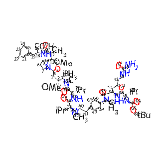 CC[C@H](C)[C@@H]([C@@H](CC(=O)N1CCC[C@H]1[C@H](OC)[C@@H](C)C(=O)N[C@@H](Cc1ccccc1)C(=O)O)OC)N(C)C(=O)[C@@H](NC(=O)[C@H](C(C)C)N(C)CCc1ccc(N(C)C(=O)C(CCCNC(N)=O)NC(=O)[C@@H](NC(=O)OC(C)(C)C)C(C)C)cc1)C(C)C